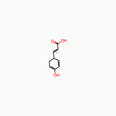 O=C(O)/C=C/C1C=CC(O)=CC1